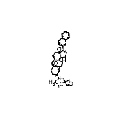 CN(CC1(C)COC1)[C@@H]1CCC2=CC3=CC[C@]4(C)[C@@H](c5ccc6ccccc6c5)CC[C@H]4[C@@]34CC[C@]2(C1)O4